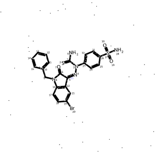 NC(=S)N(/N=C1\C(=O)N(Cc2ccccc2)c2ccc(Br)cc21)c1ccc(S(N)(=O)=O)cc1